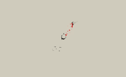 Cc1ccccc1-c1ccccc1Cc1cc(C)c(OCC(=O)OC(C)(C)C)c(C)c1